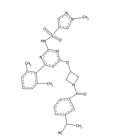 Cc1cccc(C)c1-c1cc(OC2CN(C(=O)c3cccc(C(C)C#N)c3)C2)nc(NS(=O)(=O)c2cnn(C)c2)n1